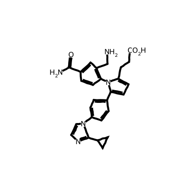 NCc1cc(C(N)=O)ccc1-n1c(CCC(=O)O)ccc1-c1ccc(-n2ccnc2C2CC2)cc1